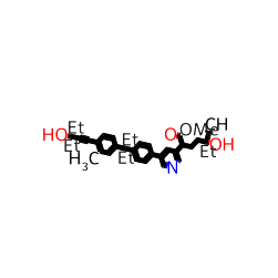 C#CC(O)(CC)CCC(C(=O)OC)c1cncc(-c2ccc(C(CC)(CC)c3ccc(C#CC(O)(CC)CC)c(C)c3)cc2)c1